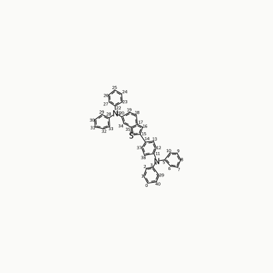 c1ccc(N(c2ccccc2)c2ccc(-c3cc4ccc(N(c5ccccc5)c5ccccc5)cc4s3)cc2)cc1